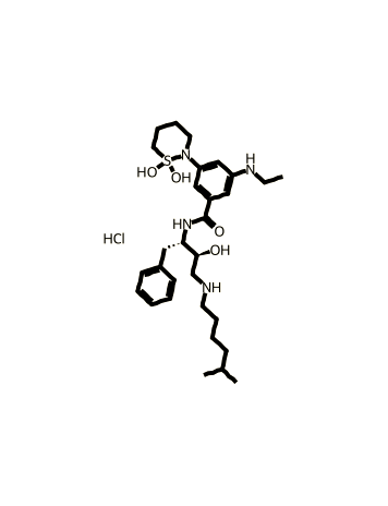 CCNc1cc(C(=O)N[C@@H](Cc2ccccc2)[C@@H](O)CNCCCCC(C)C)cc(N2CCCCS2(O)O)c1.Cl